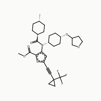 COC(=O)c1sc(C#CC2(C(F)(F)F)CC2)cc1N(C(=O)[C@H]1CC[C@H](C)CC1)[C@H]1CC[C@@H](OC2CCOC2)CC1